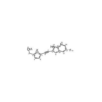 OCc1ccc(C#Cc2cc3cc(F)cnc3[nH]2)o1